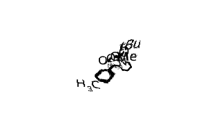 COC(=O)[C@@H](c1ccc(C)cc1)[C@@H]1CCCCN1C(=O)OC(C)(C)C